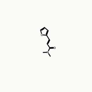 CN(C)C(=O)C=Cc1ccco1